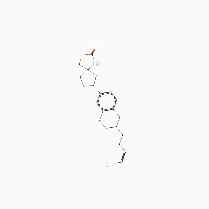 CC/C=C\CCC1CCc2cc([C@H]3CC[C@]4(COC(=O)N4)C3)ccc2C1